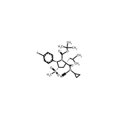 CC(C)C[C@]1(C(=O)N(C#N)C2CC2)C[C@H](S(C)(=O)=O)[C@@H](c2ccc(F)cc2)N1C(=O)OC(C)(C)C